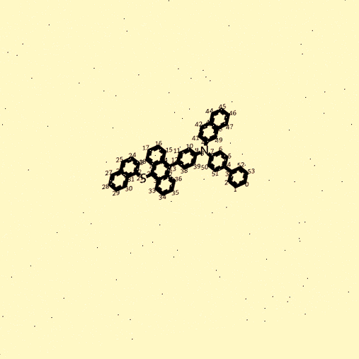 c1ccc(-c2ccc(N(c3ccc(-c4c5ccccc5c(Sc5cccc6ccccc56)c5ccccc45)cc3)c3ccc4ccccc4c3)cc2)cc1